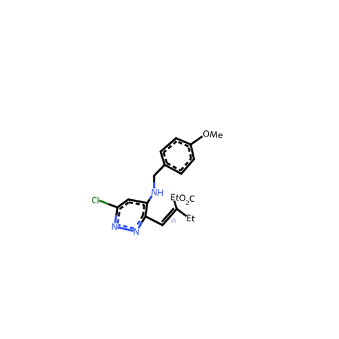 CCOC(=O)/C(=C\c1nnc(Cl)cc1NCc1ccc(OC)cc1)CC